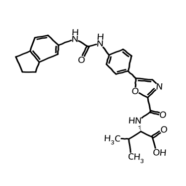 CC(C)[C@H](NC(=O)c1ncc(-c2ccc(NC(=O)Nc3ccc4c(c3)CCC4)cc2)o1)C(=O)O